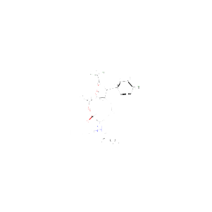 COCN(C(=O)O)[C@H]1CCCC(Cc2ccc(F)cc2)C(OCC(F)F)C(C)OC1=O